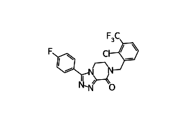 O=C1c2nnc(-c3ccc(F)cc3)n2CCN1Cc1cccc(C(F)(F)F)c1Cl